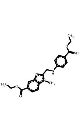 CCOC(=N)c1ccc(NCc2nc3cc(C(=O)OCC)ccc3n2C)cc1